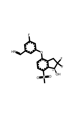 CS(=O)(=O)c1ccc(Oc2cc(F)cc(C=N)c2)c2c1[C@H](O)C(F)(F)C2